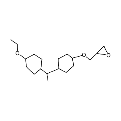 CCOC1CCC(C(C)C2CCC(OCC3CO3)CC2)CC1